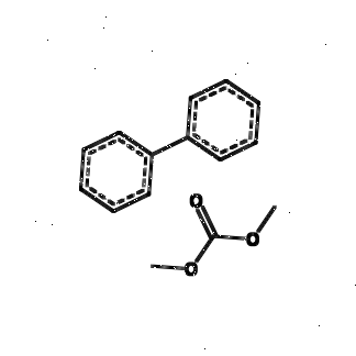 COC(=O)OC.c1ccc(-c2ccccc2)cc1